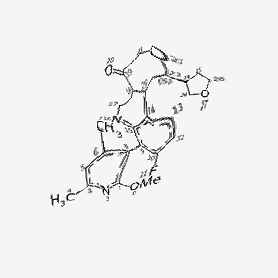 COc1nc(C)cc(C)c1-c1c(F)ccc2c1=NCC1C(=O)CO[C@@H](C3CCOC3)C=21